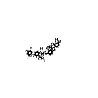 COc1cc(Oc2cc(F)c(F)cc2F)ccc1NC(=O)OCc1ccc2c(c1OC)C(=O)N(C1CCC(=O)NC1=O)C2